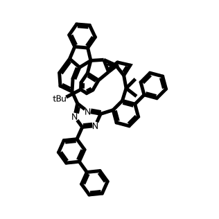 CC(C)(C)c1ccc2c(c1)C13c4ccccc4-c4ccc(cc41)-c1nc(-c4cccc(-c5ccccc5)c4)nc(n1)-c1cccc(-c4ccccc4)c1C(C)(C)c1ccc-2c3c1